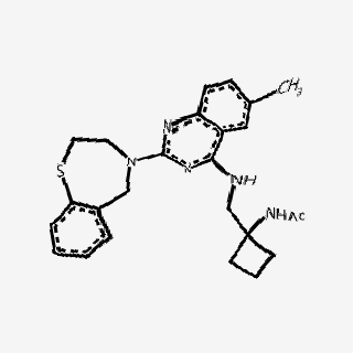 CC(=O)NC1(CNc2nc(N3CCSc4ccccc4C3)nc3ccc(C)cc23)CCC1